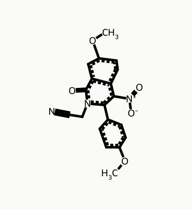 COc1ccc(-c2c([N+](=O)[O-])c3ccc(OC)cc3c(=O)n2CC#N)cc1